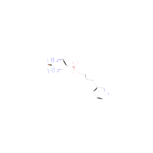 CC1=C(C(=O)OCCCc2cccnc2)CNC(=S)N1